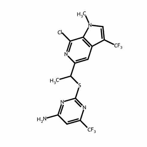 CC(Sc1nc(N)cc(C(F)(F)F)n1)c1cc2c(C(F)(F)F)cn(C)c2c(Cl)n1